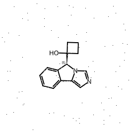 OC1([C@@H]2c3ccccc3-c3cncn32)CCC1